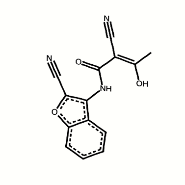 CC(O)=C(C#N)C(=O)Nc1c(C#N)oc2ccccc12